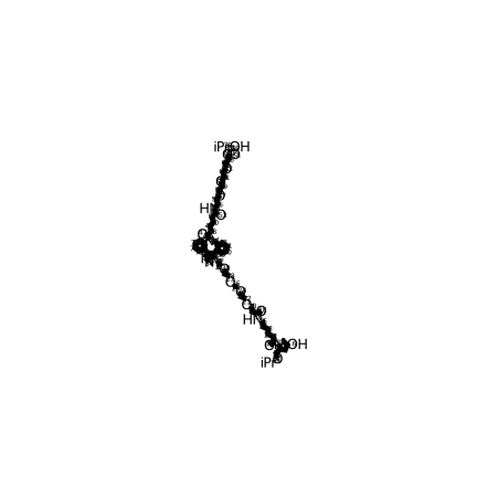 CC(C)OCC1C[C@@H](O)CN1C(=O)CCCCCNC(=O)CCOCCOCCOCCOCCn1nnc2c1-c1ccccc1CN(C(=O)CCCCC(=O)NCCOCCOCCOCCOP(=O)(O)C(C)C)c1ccccc1-2